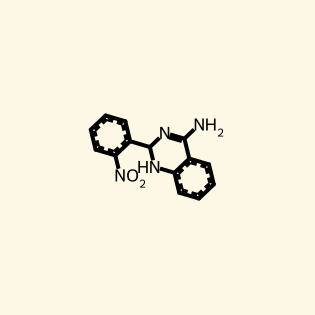 NC1=NC(c2ccccc2[N+](=O)[O-])Nc2ccccc21